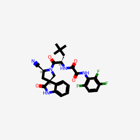 CC(C)(C)C[C@H](NC(=O)C(=O)Nc1c(F)ccc(F)c1F)C(=O)N1C[C@]2(C[C@H]1C#N)C(=O)Nc1ccccc12